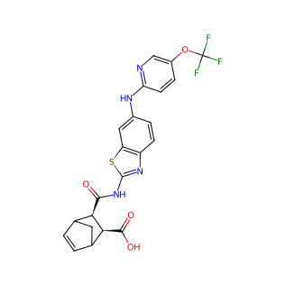 O=C(Nc1nc2ccc(Nc3ccc(OC(F)(F)F)cn3)cc2s1)[C@@H]1C2C=CC(C2)[C@@H]1C(=O)O